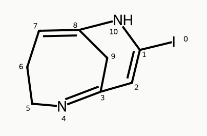 IC1=CC2=NCCC=C(C2)N1